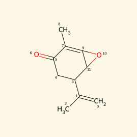 C=C(C)C1CC(=O)C(C)=C2OC21